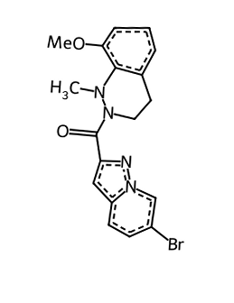 COc1cccc2c1N(C)N(C(=O)c1cc3ccc(Br)cn3n1)CC2